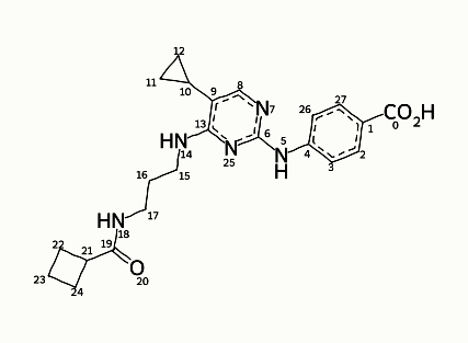 O=C(O)c1ccc(Nc2ncc(C3CC3)c(NCCCNC(=O)C3CCC3)n2)cc1